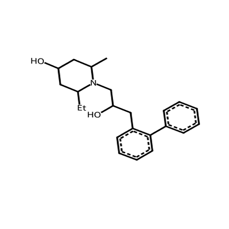 CCC1CC(O)CC(C)N1CC(O)Cc1ccccc1-c1ccccc1